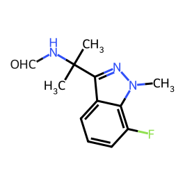 Cn1nc(C(C)(C)NC=O)c2cccc(F)c21